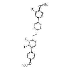 CCCCOc1ccc(-c2ccc(CCc3ccc(-c4ccc(OCCCC)c(F)c4)cc3)c(F)c2F)cc1